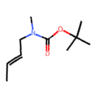 C/C=C/CN(C)C(=O)OC(C)(C)C